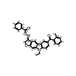 CCn1c2ccc(C(=O)c3ccccc3C)cc2c2cc3c(cc21)OC/C3=N\OC(=O)c1ccccc1